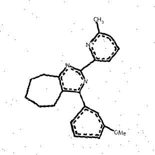 COc1cccc(-c2nc(-c3cccc(C)n3)nc3c2CCCCC3)c1